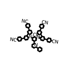 N#Cc1ccc(-c2ccc3c(c2)c2cc(-c4ccc(C#N)cc4)ccc2n3-c2cc(-c3cccc(-c4ccccc4)n3)cc(-n3c4ccc(-c5ccc(C#N)cc5)cc4c4cc(-c5ccc(C#N)cc5)ccc43)c2C(F)(F)F)cc1